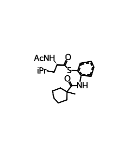 CC(=O)N[C@@H](CC(C)C)C(=O)Sc1ccccc1NC(=O)C1(C)CCCCC1